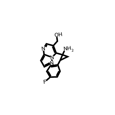 NC1(c2c(CO)cnc3ccnn23)CC1c1ccc(F)cc1